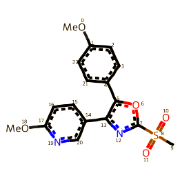 COc1ccc(-c2oc(S(C)(=O)=O)nc2-c2ccc(OC)nc2)cc1